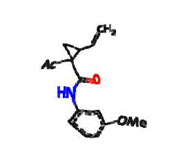 C=CC1CC1(C(C)=O)C(=O)Nc1cccc(OC)c1